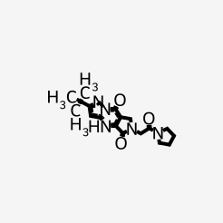 CC(C)(C)c1cc2[nH]c3c(c(=O)n2n1)CN(CC(=O)N1CCCC1)C3=O